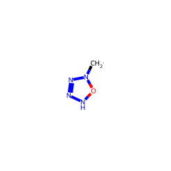 [CH2]N1N=NNO1